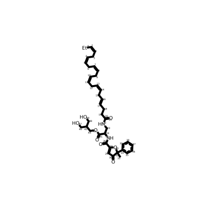 CC/C=C\C/C=C\C/C=C\C/C=C\C/C=C\CC=CCCC(=O)NCC(NC(=O)C1=CC(=O)C(C)(c2ccccc2)O1)C(=O)OCC(CO)CO